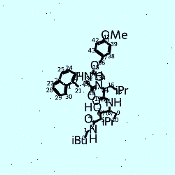 CCC(C)CNC(=O)C[C@H](O)[C@H](CC(C)C)NC(=O)[C@H](CC(C)C)NC(=O)[C@H](Cc1cccc2ccccc12)NC(=O)OCc1ccc(OC)cc1